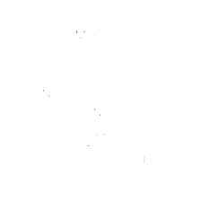 CCOC(=O)c1cnc2cc(OC)c(Br)cc2c1Nc1cccc(C)c1Cl